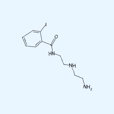 NCCNCCNC(=O)c1ccccc1I